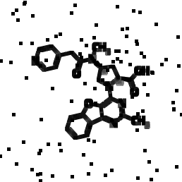 Cc1nc(N2C[C@@H](N(C)C(=O)Cc3ccncc3)C[C@H]2C(=O)O)c2oc3ccccc3c2n1